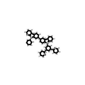 c1ccc(-n2c3cc(-c4ccc5c(c4)c4ccccc4n5-c4cc(-c5ccccn5)cc(-c5ccccn5)c4)ccc3c3cccnc32)cc1